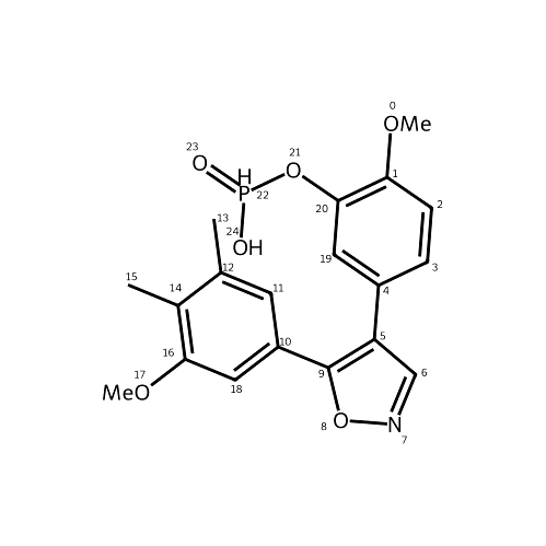 COc1ccc(-c2cnoc2-c2cc(C)c(C)c(OC)c2)cc1O[PH](=O)O